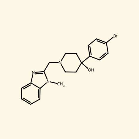 Cn1c(CN2CCC(O)(c3ccc(Br)cc3)CC2)nc2ccccc21